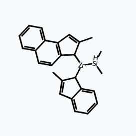 CC1=Cc2ccccc2[CH]1[Zr]([CH]1C(C)=Cc2c1ccc1ccccc21)[SiH](C)C